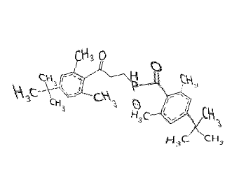 Cc1cc(C(C)(C)C)cc(C)c1C(=O)CC[PH](=O)C(=O)c1c(C)cc(C(C)(C)C)cc1C